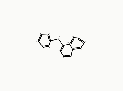 [B](c1ccccc1)c1cccc2ccccc12